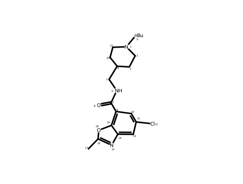 CCCCN1CCC(CNC(=O)c2cc(Cl)cc3nc(C)oc23)CC1